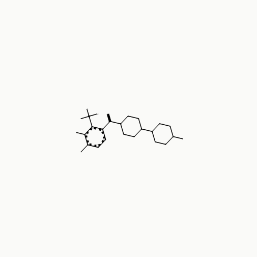 Cc1ccc(C(=O)C2CCC(C3CCC(C)CC3)CC2)c(C(F)(F)F)c1F